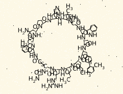 CCCC[C@H]1C(=O)N(C)[C@@H](CCCC)C(=O)NC(CCCNC(=N)N)C(=O)N[C@H](C(=O)NCC(N)=O)CSCC(=O)NC(Cc2ccccc2)C(=O)N(C)[C@@H](C)C(=O)N[C@@H](CC(N)=O)C(=O)N2CCCC2C(=O)N[C@@H](Cc2cnc[nH]2)C(=O)NC(CC(C)C)C(=O)N(C)CC(=O)N[C@@H](Cc2c[nH]c3ccccc23)C(=O)N[C@@H](CO)C(=O)NC(Cc2ccc(-c3ccccc3C)cc2)C(=O)N1C